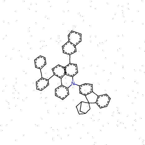 c1ccc(-c2ccccc2-c2ccccc2-c2ccccc2N(c2ccc(-c3ccc4ccccc4c3)cc2)c2ccc3c(c2)C2(CC4CCC2C4)c2ccccc2-3)cc1